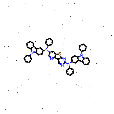 c1ccc(N(c2cnc3c(c2)sc2nc(N(c4ccccc4)c4ccc5c(c4)c4ccccc4n5-c4ccccc4)ncc23)c2ccc3c(c2)c2ccccc2n3-c2ccccc2)cc1